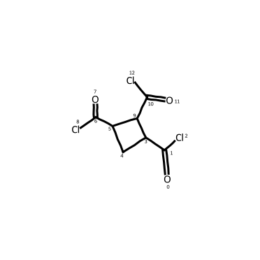 O=C(Cl)C1CC(C(=O)Cl)C1C(=O)Cl